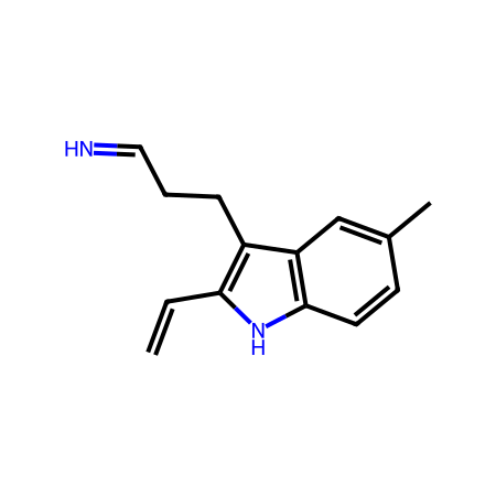 C=Cc1[nH]c2ccc(C)cc2c1CCC=N